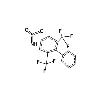 FC(F)(F)c1cccc(C(F)(F)F)c1-c1ccccc1.N=S(=O)=O